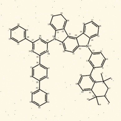 CC1CC(C)(C)c2c(-c3cccc(-n4c5ccccc5c5c6c7c(n(-c8nc(-c9ccccc9)nc(-c9ccc(-c%10ccccc%10)cc9)n8)c6ccc54)=CCCC=7)c3)cccc2C1(C)C